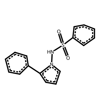 O=S(=O)(Nn1cccc1-c1ccccc1)c1ccccc1